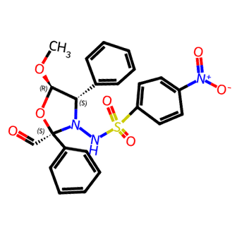 CO[C@@H]1O[C@](C=O)(c2ccccc2)N(NS(=O)(=O)c2ccc([N+](=O)[O-])cc2)[C@H]1c1ccccc1